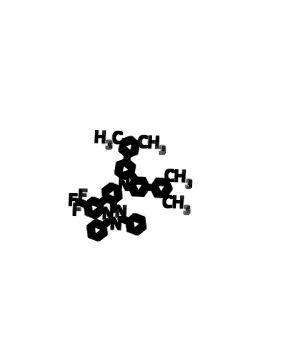 Cc1cc(C)cc(-c2ccc3c(c2)c2cc(-c4cc(C)cc(C)c4)ccc2n3-c2ccc(-c3cccc(C(F)(F)F)c3)c(-c3nc(-c4ccccc4)nc(-c4ccccc4)n3)c2)c1